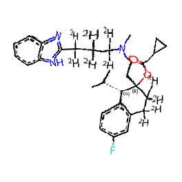 [2H]C([2H])(c1nc2ccccc2[nH]1)C([2H])([2H])C([2H])([2H])N(C)CC[C@]1(OC(=O)C2CC2)[C@@H](C(C)C)c2ccc(F)cc2C([2H])([2H])C1([2H])[2H]